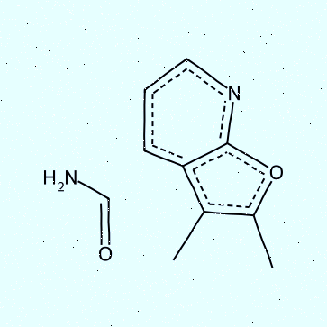 Cc1oc2ncccc2c1C.NC=O